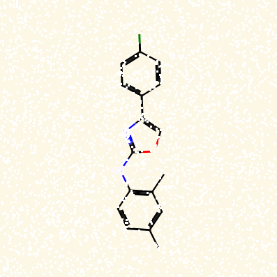 Cc1ccc(Nc2nc(-c3ccc(Br)cc3)co2)c(C)c1